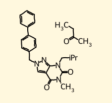 CC(C)Cn1c(=O)n(C)c(=O)c2cn(Cc3ccc(-c4ccccc4)cc3)nc21.CCC(C)=O